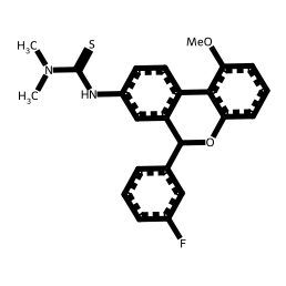 COc1cccc2c1-c1ccc(NC(=S)N(C)C)cc1C(c1cccc(F)c1)O2